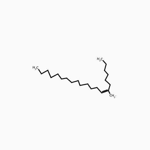 [CH2]C(=CCCCCCCCCCCCCC)CCCCCC